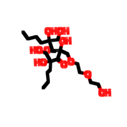 CCCCC(O)(CO)C(=O)C(O)(COCCOCCO)C(=O)C(O)(CO)CCCC